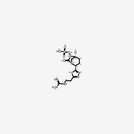 N=C(N)NCCc1nnc([C@@H]2CC[C@H]3CN2C(=O)N3OS(=O)(=O)O)s1